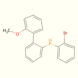 COc1ccccc1-c1ccccc1Pc1ccccc1Br